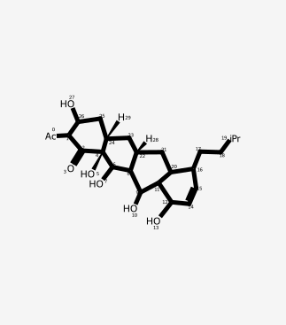 CC(=O)C1C(=O)[C@@]2(O)C(O)C3C(O)C4C(O)C=CC(CCC(C)C)C4C[C@H]3C[C@H]2CC1O